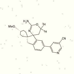 [2H]C1([2H])CC2(N=C(N)O1)c1cc(-c3cncc(C#N)c3)ccc1C[C@]21CC[C@@H](OC)CC1